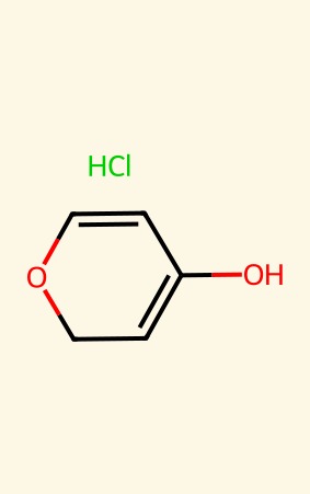 Cl.OC1=CCOC=C1